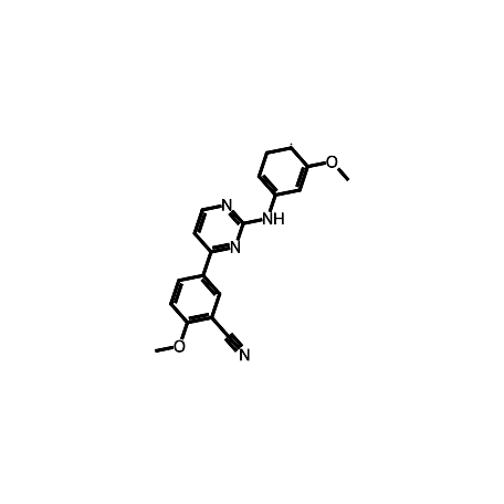 COC1=CC(Nc2nccc(-c3ccc(OC)c(C#N)c3)n2)=CC[CH]1